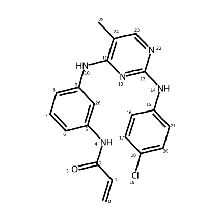 C=CC(=O)Nc1cccc(Nc2nc(Nc3ccc(Cl)cc3)ncc2C)c1